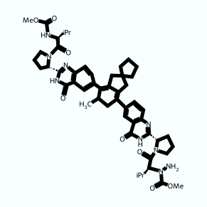 COC(=O)N[C@H](C(=O)N1CCC[C@H]1c1nc2ccc(C3=C4CC5(CCCC5)CC4=C(c4ccc5nc([C@@H]6CCCN6C(=O)[C@H](C(C)C)N(N)C(=O)OC)[nH]c(=O)c5c4)CC3C)cc2c(=O)[nH]1)C(C)C